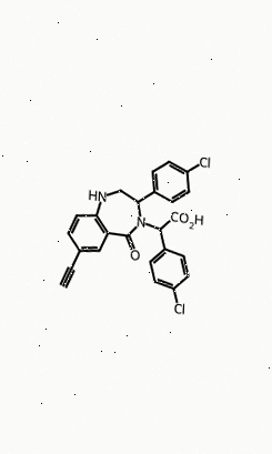 C#Cc1ccc2c(c1)C(=O)N(C(C(=O)O)c1ccc(Cl)cc1)C(c1ccc(Cl)cc1)CN2